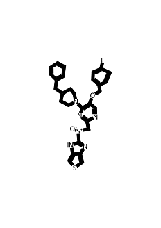 [O-][S+](Cc1ncc(OCc2ccc(F)cc2)c(N2CCC(Cc3ccccc3)CC2)n1)c1nc2cscc2[nH]1